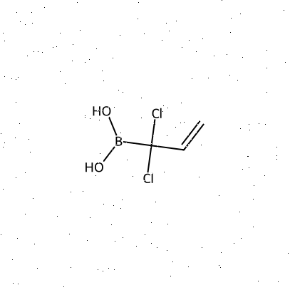 C=CC(Cl)(Cl)B(O)O